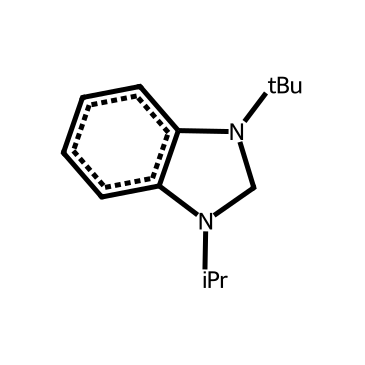 CC(C)N1CN(C(C)(C)C)c2ccccc21